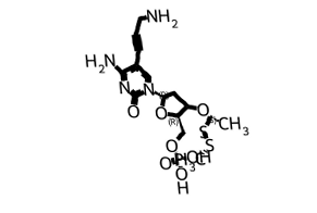 CSS[C@@H](C)OC1C[C@H](n2cc(C#CCN)c(N)nc2=O)O[C@@H]1COP(=O)(O)O